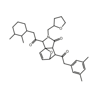 Cc1cc(C)cc(CC(=O)C2C3C=CC4(O3)C2C(=O)N(CC2CCCO2)C4C(=O)CC2CCCC(C)C2C)c1